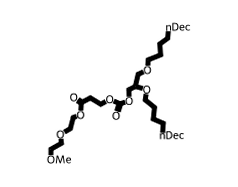 CCCCCCCCCCCCCCOCC(COC(=O)OCCC(=O)OCCOCCOC)OCCCCCCCCCCCCCC